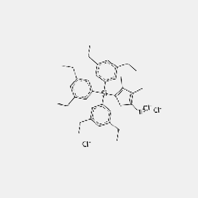 CCc1cc(CC)cc([Si](C2=C(C)C(C)=[C]([Ti+3])C2)(c2cc(CC)cc(CC)c2)c2cc(CC)cc(CC)c2)c1.[Cl-].[Cl-].[Cl-]